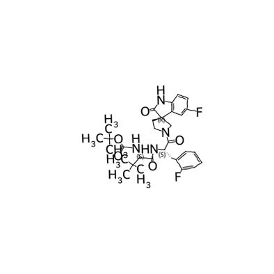 CC(C)(C)OC(=O)N[C@H](C(=O)N[C@@H](Cc1ccccc1F)C(=O)N1CC[C@@]2(C1)C(=O)Nc1ccc(F)cc12)C(C)(C)C